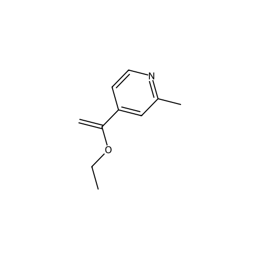 C=C(OCC)c1ccnc(C)c1